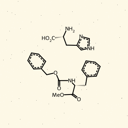 COC(=O)[C@@H](Cc1ccccc1)NC(=O)OCc1ccccc1.N[C@H](Cc1c[nH]cn1)C(=O)O